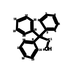 OSC(c1ccccc1)(c1ccccc1)c1ccccc1